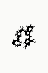 O=C(c1nc(-c2ccncn2)no1)c1cn(Cc2ccc(Cl)cc2Cl)c2ccccc12